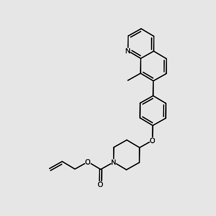 C=CCOC(=O)N1CCC(Oc2ccc(-c3ccc4cccnc4c3C)cc2)CC1